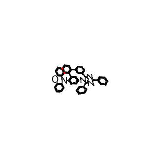 c1ccc(-c2nc(-c3ccccc3)nc(-c3cccc(-c4ccccc4-c4ccccc4N4c5ccccc5Oc5ccccc54)c3)n2)cc1